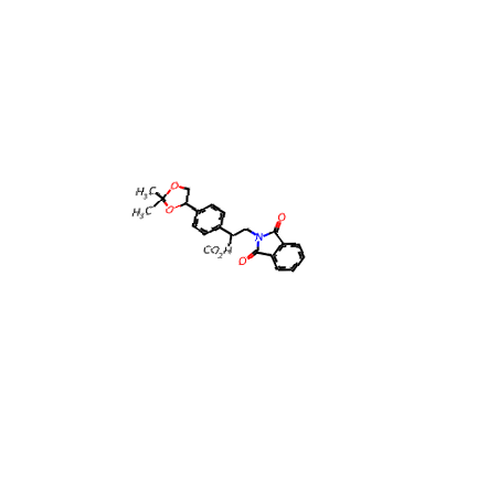 CC1(C)OCC(c2ccc(C(CN3C(=O)c4ccccc4C3=O)C(=O)O)cc2)O1